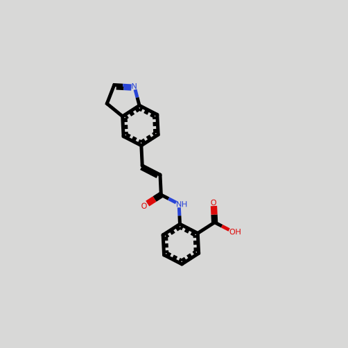 O=C(/C=C/c1ccc2c(c1)CC=N2)Nc1ccccc1C(=O)O